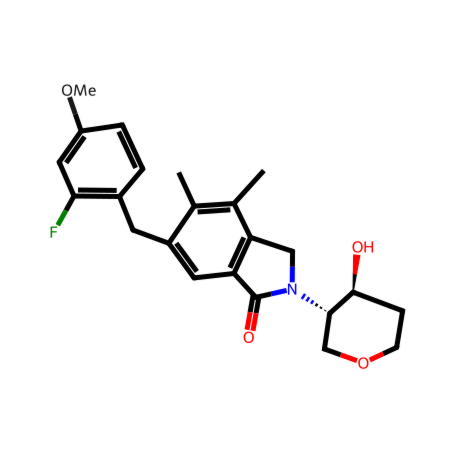 COc1ccc(Cc2cc3c(c(C)c2C)CN([C@H]2COCC[C@@H]2O)C3=O)c(F)c1